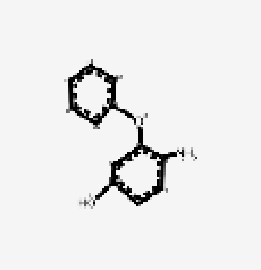 Nc1ccc(O)cc1Oc1ccccc1